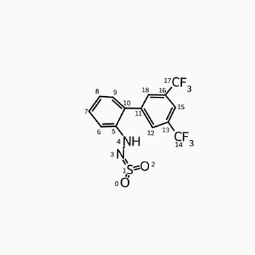 O=S(=O)=NNc1ccccc1-c1cc(C(F)(F)F)cc(C(F)(F)F)c1